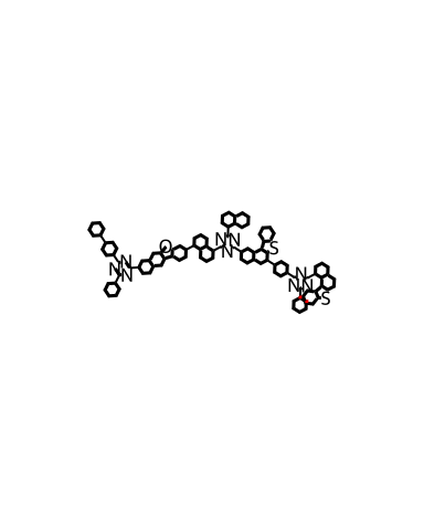 c1ccc(-c2ccc(-c3nc(-c4ccccc4)nc(-c4ccc5cc6c(cc5c4)oc4cc(-c5cccc7c(-c8nc(-c9ccc%10cc(-c%11ccc(-c%12nc(-c%13ccccc%13)nc(-c%13cccc%14ccc%15sc%16ccccc%16c%15c%13%14)n%12)cc%11)c%11sc%12ccccc%12c%11c%10c9)nc(-c9cccc%10ccccc9%10)n8)cccc57)ccc46)n3)cc2)cc1